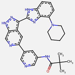 CC(C)(C)C(=O)Nc1cncc(-c2cc3c(-c4nc5c(N6CCCCC6)cccc5[nH]4)n[nH]c3cn2)c1